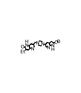 CCc1cc2ncc(CN3CCN(c4cnc5c(c4)CC(=C=O)N5)CC3)cc2[nH]c1=O